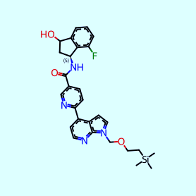 C[Si](C)(C)CCOCn1ccc2c(-c3ccc(C(=O)N[C@H]4CC(O)c5cccc(F)c54)cn3)ccnc21